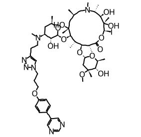 CO[C@]1(C)C[C@H](O[C@H]2[C@H](C)[C@@H](O[C@@H]3O[C@H](C)C[C@H](N(C)CCc4cn(CCCOc5ccc(-c6cncnc6)cc5)nn4)[C@H]3O)[C@](C)(O)C[C@@H](C)CN(C)[C@H](C)[C@@H](O)[C@](C)(O)[C@@H](I)OC(=O)[C@@H]2C)O[C@@H](C)[C@@H]1O